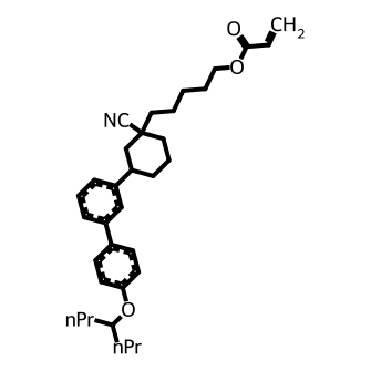 C=CC(=O)OCCCCCC1(C#N)CCCC(c2cccc(-c3ccc(OC(CCC)CCC)cc3)c2)C1